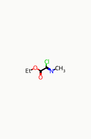 CCOC(=O)C(Cl)=NC